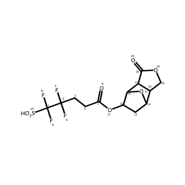 O=C(CCC(F)(F)C(F)(F)S(=O)(=O)O)OC1CC2OC1C1C(=O)OCC21